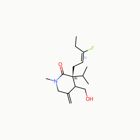 C=C1CN(C)C(=O)[C@](C/C=C(/F)CC)(C(C)C)C1CO